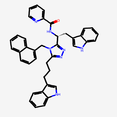 O=C(N[C@H](Cc1c[nH]c2ccccc12)c1nnc(CCCc2c[nH]c3ccccc23)n1Cc1cccc2ccccc12)c1ccccn1